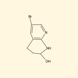 OC1CCc2cc(Br)cnc2N1